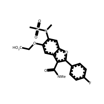 CNC(=O)c1c(-c2ccc(F)cc2)oc2cc(N(C)S(C)(=O)=O)c(OCC(=O)O)cc12